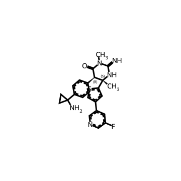 CN1C(=N)N[C@](C)(c2cc(-c3cncc(F)c3)cs2)[C@@H](c2ccc(C3(N)CC3)cc2)C1=O